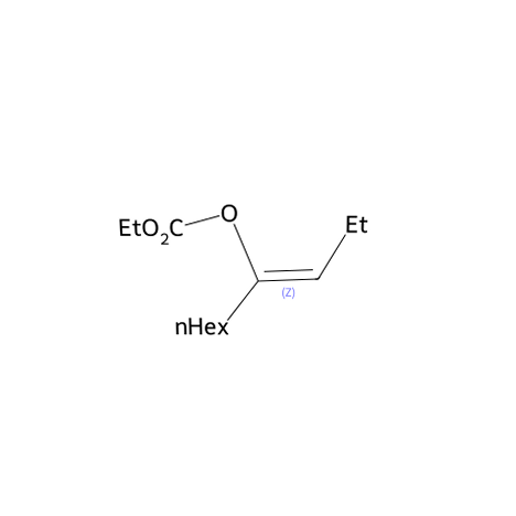 CC/C=C(/CCCCCC)OC(=O)OCC